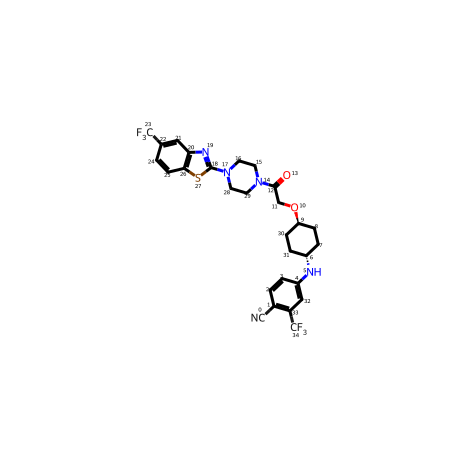 N#Cc1ccc(N[C@H]2CC[C@H](OCC(=O)N3CCN(c4nc5cc(C(F)(F)F)ccc5s4)CC3)CC2)cc1C(F)(F)F